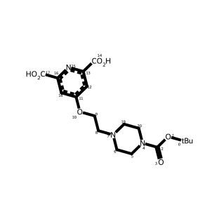 CC(C)(C)OC(=O)N1CCN(CCOc2cc(C(=O)O)nc(C(=O)O)c2)CC1